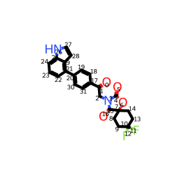 O=C(CN1C(=O)OC2(CCC(F)(F)CC2)C1=O)c1ccc(-c2cccc3[nH]ccc23)cc1